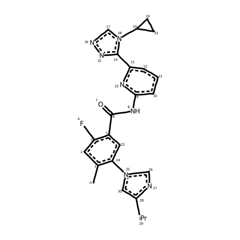 Cc1cc(F)c(C(=O)Nc2cccc(-c3nncn3C3CC3)n2)cc1-n1cnc(C(C)C)c1